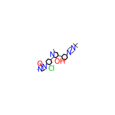 Cc1cc(-c2cccc(N3CCN(C(C)(C)C)CC3)c2)c(O)c(-c2ccc(-n3ccn(C)c3=O)c(Cl)c2)n1